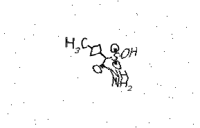 CC1CC(C(C(=O)NN)S(=O)(=O)O)C1